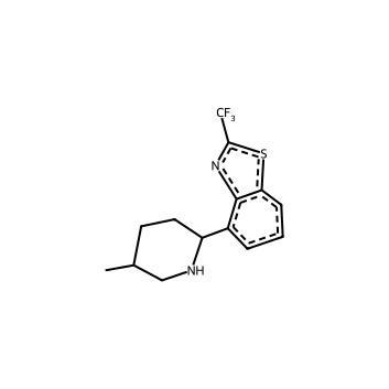 CC1CCC(c2cccc3sc(C(F)(F)F)nc23)NC1